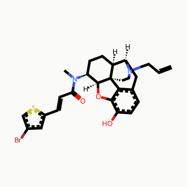 C=CCN1CC[C@]23c4c5ccc(O)c4O[C@H]2[C@@H](N(C)C(=O)/C=C/c2cc(Br)cs2)CC[C@H]3[C@H]1C5